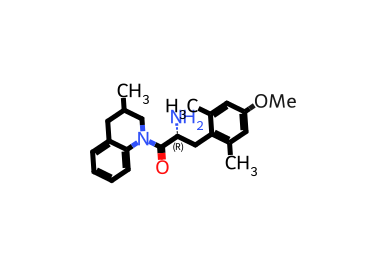 COc1cc(C)c(C[C@@H](N)C(=O)N2CC(C)Cc3ccccc32)c(C)c1